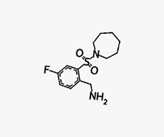 NCc1ccc(F)cc1S(=O)(=O)N1CCCCCC1